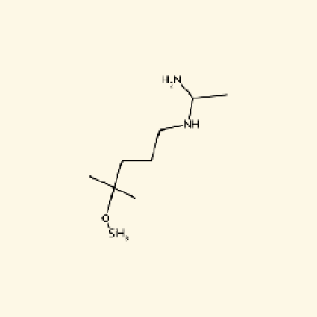 CC(N)NCCCC(C)(C)O[SiH3]